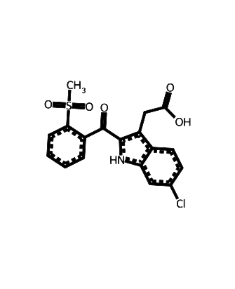 CS(=O)(=O)c1ccccc1C(=O)c1[nH]c2cc(Cl)ccc2c1CC(=O)O